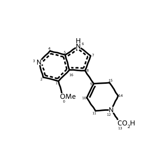 COc1cncc2[nH]cc(C3=CCN(C(=O)O)CC3)c12